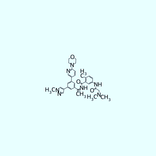 Cc1ccc(NC(=O)CN(C)C)cc1C(=O)N[C@H](C)c1cc(-c2ccc(N3CCOCC3)nc2)cc(-c2cnn(C)c2)c1